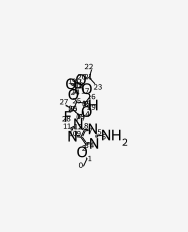 CCOc1nc(N)nc2c1ncn2[C@@H]1O[C@@H]2COP(=O)(OC(C)C)OC2[C@@]1(C)F